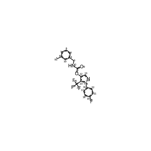 O=C(NCc1cccc(I)c1)Oc1cnn(-c2ccc(F)cc2)c1C(F)(F)F